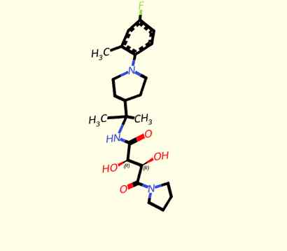 Cc1cc(F)ccc1N1CCC(C(C)(C)NC(=O)[C@H](O)[C@@H](O)C(=O)N2CCCC2)CC1